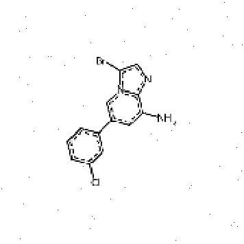 Nc1cc(-c2cccc(Cl)c2)cn2c(Br)cnc12